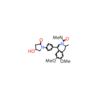 CNC(=O)N1C=C(c2ccc(N3CC(O)CC3=O)cc2)c2cc(OC)c(OC)cc2CC1C